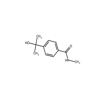 CNC(=O)c1ccc(C(C)(C)O)cc1